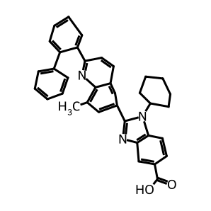 Cc1cc(-c2nc3cc(C(=O)O)ccc3n2C2CCCCC2)cc2ccc(-c3ccccc3-c3ccccc3)nc12